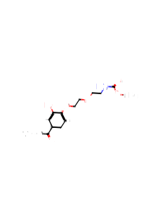 COC(=O)C1C=C(O)C(OCCOCCNC(=O)OC(C)(C)C)=CC1